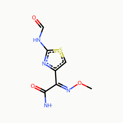 CO/N=C(/C([NH])=O)c1csc(NC=O)n1